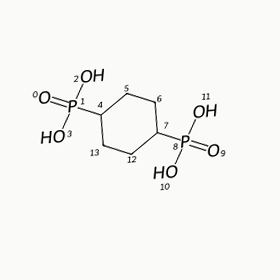 O=P(O)(O)C1CCC(P(=O)(O)O)CC1